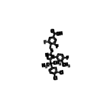 Cc1cc(-n2c(C(C)(C)c3ccc(Cl)c(Cl)c3)cnc2SCc2c(F)cc(C(=O)O)cc2F)ccc1F